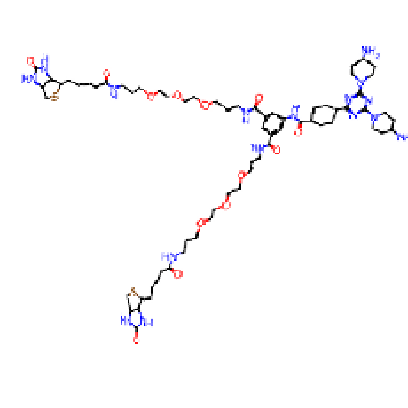 NC1CCN(c2nc(C3CCC(C(=O)Nc4cc(C(=O)NCCCOCCOCCOCCCNC(=O)CCCCC5SCC6NC(=O)NC65)cc(C(=O)NCCCOCCOCCOCCCNC(=O)CCCCC5SCC6NC(=O)NC65)c4)CC3)nc(N3CCC(N)CC3)n2)CC1